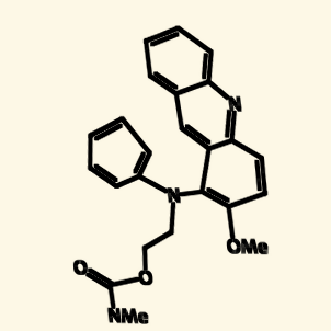 CNC(=O)OCCN(c1ccccc1)c1c(OC)ccc2nc3ccccc3cc12